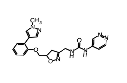 Cn1cc(-c2ccccc2OCC2CC(CNC(=O)Nc3ccnnc3)=NO2)cn1